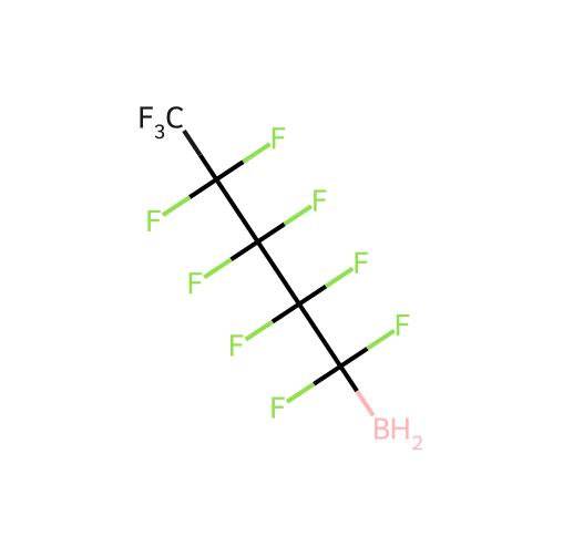 BC(F)(F)C(F)(F)C(F)(F)C(F)(F)C(F)(F)F